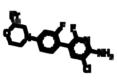 CC(C)[C@@H]1CN(c2ccc(-c3cc(Cl)c(N)nc3F)c(F)c2)CCO1